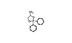 [CH2]C1COC(c2ccccc2)(c2ccccc2)O1